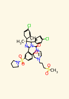 CCOc1ccc(S(=O)(=O)N2CCCC2)cc1C1=N[C@@](C)(C2C=CC(Cl)=CC2)[C@@](C)(c2ccc(Cl)cc2)N1C(=O)N1CCN(CCCS(C)(=O)=O)CC1